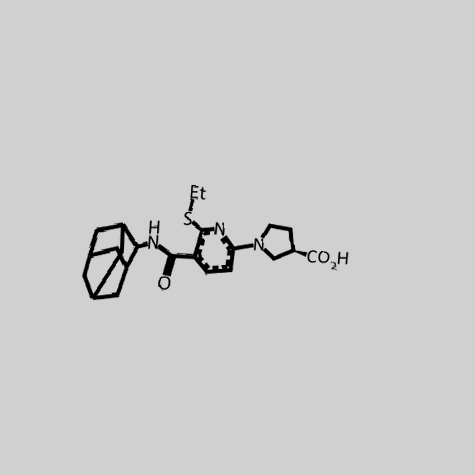 CCSc1nc(N2CC[C@@H](C(=O)O)C2)ccc1C(=O)NC1C2CC3CC(C2)CC1C3